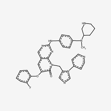 CN(c1ccc(Nc2ncc3cc(Oc4ccccc4F)c(=O)n(Cc4cncn4-c4ccncc4)c3n2)cc1)C1CCCNC1